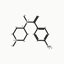 C=C(c1ccc(N)cc1)N(C)C1CCN(C)CC1